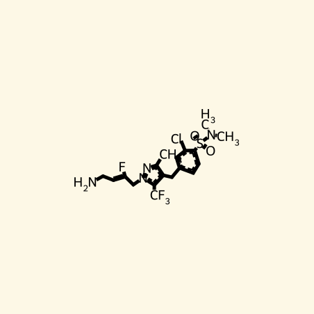 Cc1nn(C/C(F)=C/CN)c(C(F)(F)F)c1Cc1ccc(S(=O)(=O)N(C)C)c(Cl)c1